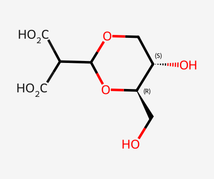 O=C(O)C(C(=O)O)C1OC[C@H](O)[C@@H](CO)O1